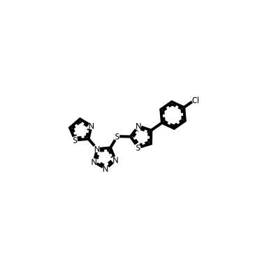 Clc1ccc(-c2csc(Sc3nnnn3-c3nccs3)n2)cc1